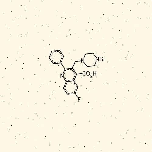 O=C(O)c1c(CN2CCNCC2)c(-c2ccccc2)nc2ccc(F)cc12